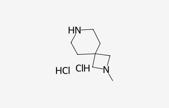 CN1CC2(CCNCC2)C1.Cl.Cl